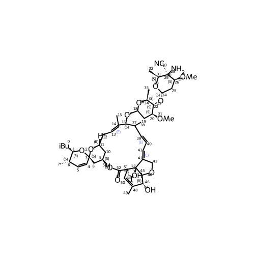 CCC(C)[C@H]1O[C@]2(C=C[C@@H]1C)C[C@@H]1C[C@@H](C/C=C(\C)[C@@H](OC3C[C@H](OC)[C@@H](O[C@H]4C[C@H](OC)[C@@](N)(C#N)[C@H](C)O4)[C@H](C)O3)C(C)/C=C/C=C3\COC4[C@H](O)C(C)=C[C@@H](C(=O)O1)[C@]34O)O2